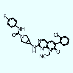 N#CCn1c(=O)c(-c2ccccc2Cl)cc2cnc(NC3C4CN(C(=O)Nc5ccc(F)cc5)CC43)nc21